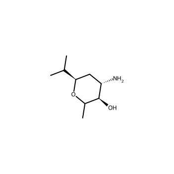 CC(C)[C@H]1C[C@H](N)[C@@H](O)C(C)O1